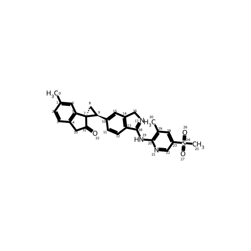 Cc1ccc2c(c1)[C@]1(C[C@H]1c1ccc3c(c1)CN=C3Nc1ncc(S(C)(=O)=O)cc1C)C(=O)C2